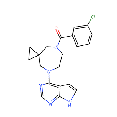 O=C(c1cccc(Cl)c1)N1CCN(c2ncnc3[nH]ccc23)CC2(CC2)C1